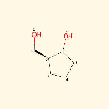 OC[C@@H]1CCCC1O